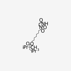 CC(C)CC(C)(C(=O)OCCCCCCCC(=O)n1ccc(=O)[nH]c1=O)C(C)C